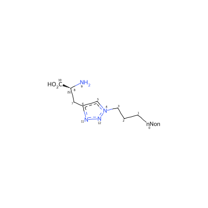 CCCCCCCCCCCCn1cc(C[C@H](N)C(=O)O)nn1